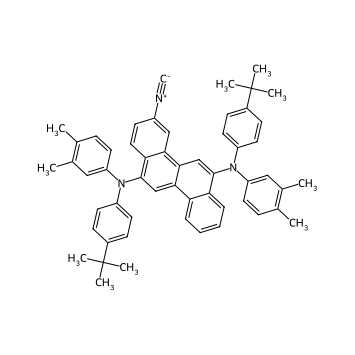 [C-]#[N+]c1ccc2c(N(c3ccc(C(C)(C)C)cc3)c3ccc(C)c(C)c3)cc3c4ccccc4c(N(c4ccc(C(C)(C)C)cc4)c4ccc(C)c(C)c4)cc3c2c1